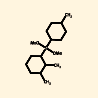 CO[Si](OC)(C1CCC(C)CC1)C1CCCC(C)C1C